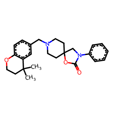 CC1(C)CCOc2ccc(CN3CCC4(CC3)CN(c3ccccc3)C(=O)O4)cc21